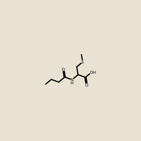 CCCC(=O)NC(CSC)C(=O)O